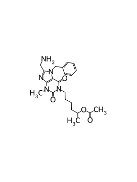 CC(=O)OC(C)CCCCn1c(=O)c2c(nc(CN)n2Cc2ccccc2)n(C)c1=O